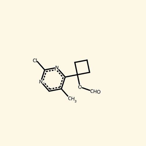 Cc1cnc(Cl)nc1C1(OC=O)CCC1